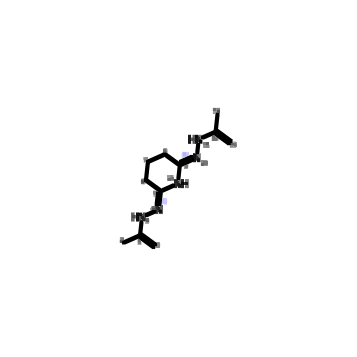 C=C(C)N/N=C1\CCC/C(=N\NC(=C)C)N1